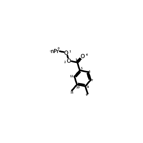 [CH2]C[CH]OOC(=O)c1ccc(C)c(C)c1